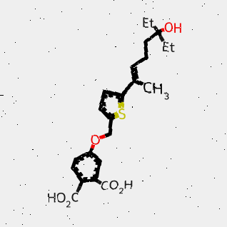 CCC(O)(CC)CCC=C(C)c1ccc(COc2ccc(C(=O)O)c(C(=O)O)c2)s1